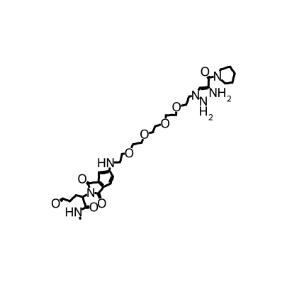 CNC(=O)C(CCC=O)N1C(=O)c2ccc(NCCOCCOCCOCCOCCN(N)/C=C(\N)C(=O)N3CCCCC3)cc2C1=O